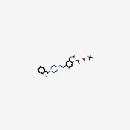 CC(OC(=O)NC(C)(C)C(C)C)N1C(=O)Cc2cc(CCN3CCN(c4nsc5ccccc45)CC3)c(Cl)cc21